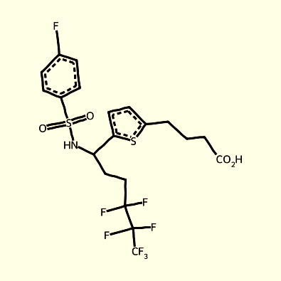 O=C(O)CCCc1ccc(C(CCC(F)(F)C(F)(F)C(F)(F)F)NS(=O)(=O)c2ccc(F)cc2)s1